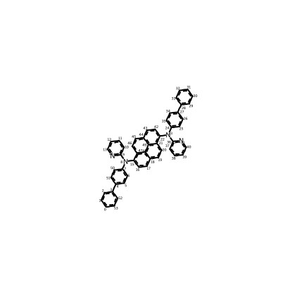 c1ccc(-c2ccc(N(c3ccccn3)c3ccc4ccc5c(N(c6ccc(-c7ccccc7)cc6)c6ccccn6)ccc6ccc3c4c65)cc2)cc1